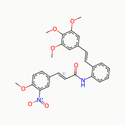 COc1ccc(/C=C/C(=O)Nc2ccccc2C=Cc2cc(OC)c(OC)c(OC)c2)cc1[N+](=O)[O-]